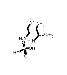 NCCN.NCCN.O.O.O=S(=O)(O)O